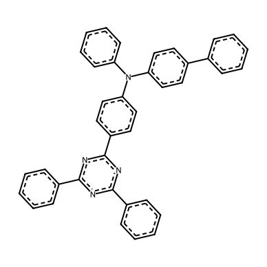 c1ccc(-c2ccc(N(c3ccccc3)c3ccc(-c4nc(-c5ccccc5)nc(-c5ccccc5)n4)cc3)cc2)cc1